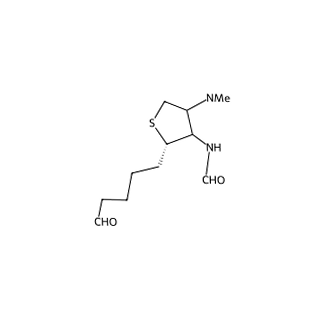 CNC1CS[C@@H](CCCCC=O)C1NC=O